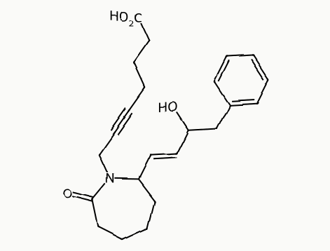 O=C(O)CCCC#CCN1C(=O)CCCCC1C=CC(O)Cc1ccccc1